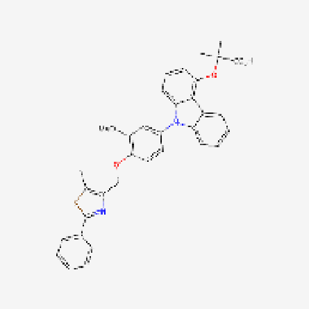 COc1cc(-n2c3ccccc3c3c(OC(C)(C)C(=O)O)cccc32)ccc1OCc1nc(-c2ccccc2)sc1C